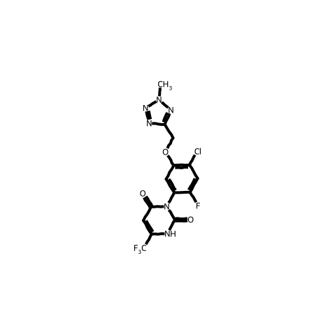 Cn1nnc(COc2cc(-n3c(=O)cc(C(F)(F)F)[nH]c3=O)c(F)cc2Cl)n1